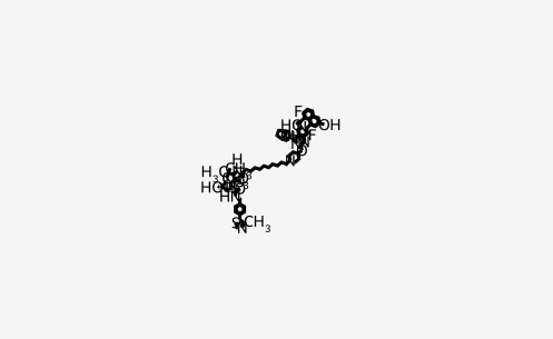 C#Cc1c(F)ccc2cc(O)cc(-c3ncc4c(N5CC6CCC(C5)N6)nc(OC5CCN(CCCCCCCCCCC(=O)NC(C(=O)N6C[C@H](O)C[C@H]6C(=O)NCc6ccc(-c7scnc7C)cc6)C(C)(C)C)CC5)nc4c3F)c12